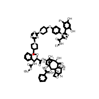 CCNC(=O)c1nnc(-c2cc(C(C)C)c(O)cc2O)n1-c1ccc(OC2CCN(c3ncnc(N4CCC(C(=O)O[C@@H](C(=O)O[C@H]5C[C@@]6(O)[C@@H](OC(=O)c7ccccc7)[C@@H]7[C@]8(OC(C)=O)CO[C@@H]8C[C@H](O)[C@@]7(C)C(=O)[C@H](O)C(=C5C)C6(C)C)[C@@H](NC(=O)OC(C)(C)C)c5ccccc5)CC4)n3)CC2)cc1